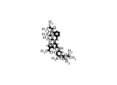 C=C(C)C(=O)Nc1cccc(CN(C(=O)OC(C)(C)C)c2cc(NC3CCC(C)(C)N(C(=O)OC(C)(C)C)C3)nc3c(C(C)C)cnn23)c1